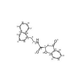 O=C1C[C@H](C(=O)NCCc2cccc3ccccc23)Oc2ccccc21